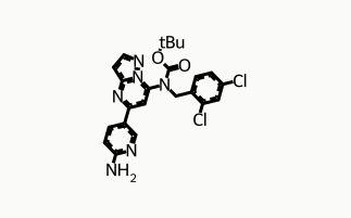 CC(C)(C)OC(=O)N(Cc1ccc(Cl)cc1Cl)c1cc(-c2ccc(N)nc2)nc2ccnn12